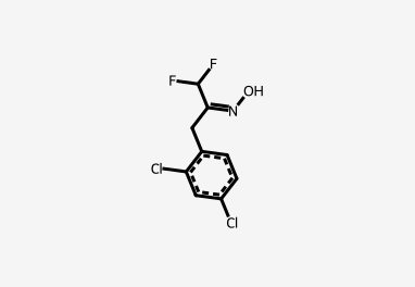 ON=C(Cc1ccc(Cl)cc1Cl)C(F)F